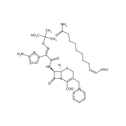 CC(C)(O/N=C(/C(=O)N[C@@H]1C(=O)N2C(C(=O)[O-])=C(C[n+]3ccccc3)CS[C@H]12)c1csc(N)n1)C(=O)O.CCCCCCCC/C=C\CCCCCCCC(N)=O